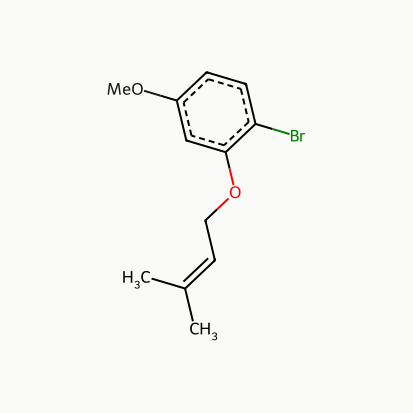 COc1ccc(Br)c(OCC=C(C)C)c1